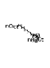 CCCCCCCC/C=C\CCCCCCCCOC(=O)C(CC)CCCC